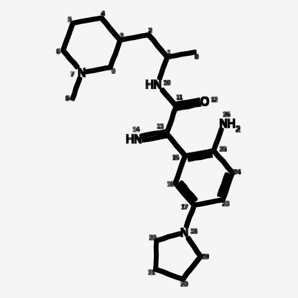 CC(CC1CCCN(C)C1)NC(=O)C(=N)c1cc(N2CCCC2)ccc1N